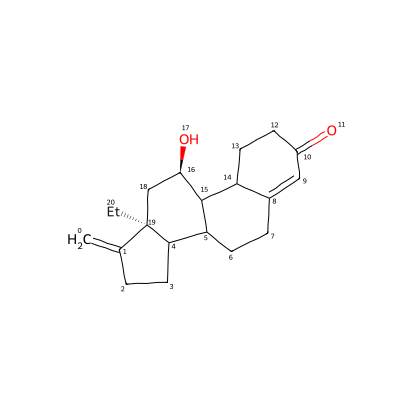 C=C1CCC2C3CCC4=CC(=O)CCC4C3[C@H](O)C[C@]12CC